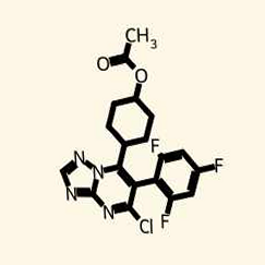 CC(=O)OC1CCC(c2c(-c3c(F)cc(F)cc3F)c(Cl)nc3ncnn23)CC1